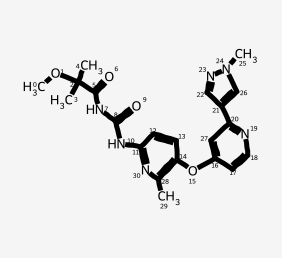 COC(C)(C)C(=O)NC(=O)Nc1ccc(Oc2ccnc(-c3cnn(C)c3)c2)c(C)n1